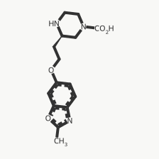 Cc1nc2ccc(OCC[C@@H]3CN(C(=O)O)CCN3)cc2o1